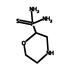 NP(N)(=S)C1CNCCO1